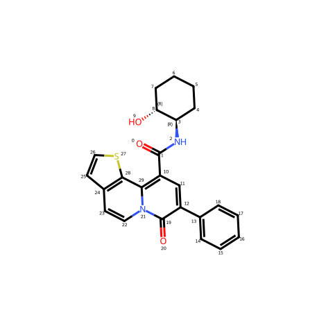 O=C(N[C@@H]1CCCC[C@H]1O)c1cc(-c2ccccc2)c(=O)n2ccc3ccsc3c12